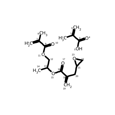 C=C(C)C(=O)O.C=C(C)C(=O)OCC(C)OC(=O)C(=C)CC1CO1